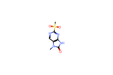 Cn1c(=O)[nH]c2nc(S(C)(=O)=O)ncc21